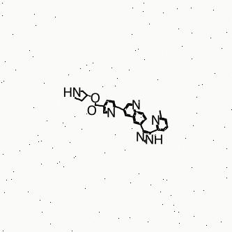 Cc1cccc(-c2[nH]cnc2-c2ccc3ncc(-c4ccc(C(=O)O[C@H]5CCNC5)cn4)cc3c2)n1